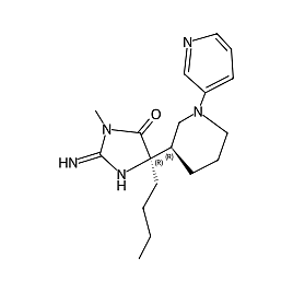 CCCC[C@]1([C@@H]2CCCN(c3cccnc3)C2)NC(=N)N(C)C1=O